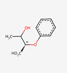 CC(O)[C@@H](Oc1ccccc1)C(=O)O